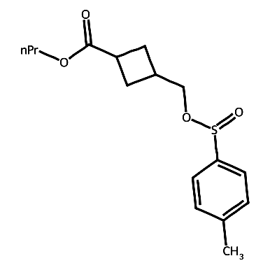 CCCOC(=O)C1CC(COS(=O)c2ccc(C)cc2)C1